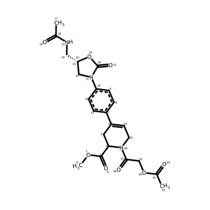 COC(=O)C1CC(c2ccc(N3C[C@H](CNC(C)=O)OC3=O)cc2)=CCN1C(=O)COC(C)=O